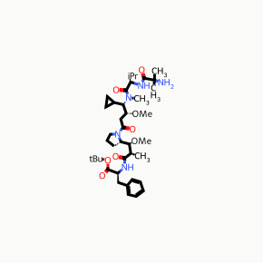 CO[C@H]([C@@H](C)C(=O)N[C@@H](Cc1ccccc1)C(=O)OC(C)(C)C)[C@@H]1CCCN1C(=O)C[C@@H](OC)[C@H](C1CC1)N(C)C(=O)[C@@H](NC(=O)C(C)(C)N)C(C)C